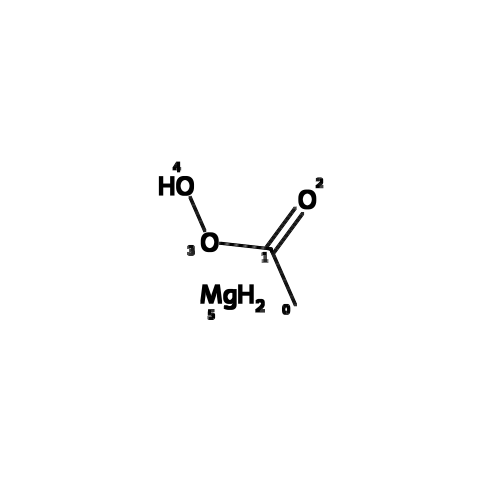 CC(=O)OO.[MgH2]